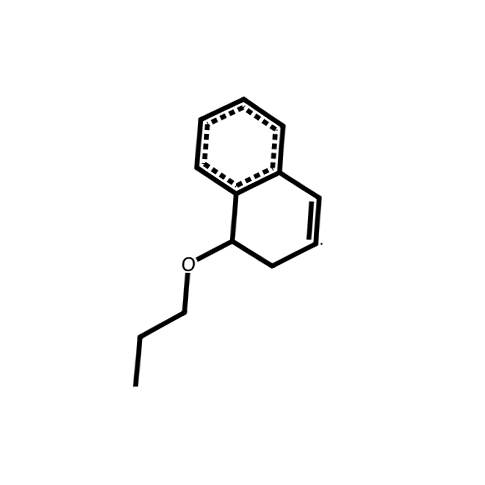 CCCOC1C[C]=Cc2ccccc21